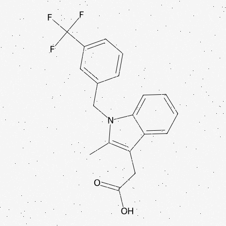 Cc1c(CC(=O)O)c2ccccc2n1Cc1cccc(C(F)(F)F)c1